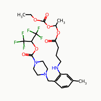 CCOC(=O)OC(C)OC(=O)CCCNc1cc(C)ccc1CN1CCN(C(=O)OC(C(F)(F)F)C(F)(F)F)CC1